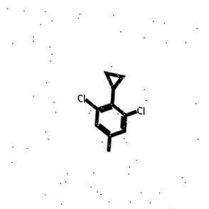 Cc1cc(Cl)c(C2CC2)c(Cl)c1